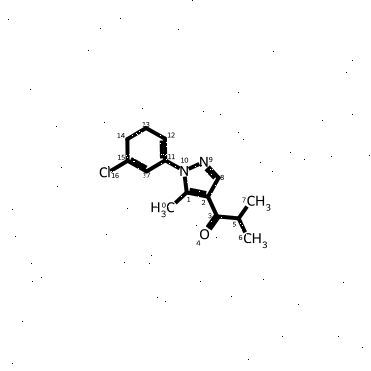 Cc1c(C(=O)C(C)C)cnn1C1=CCCC(Cl)=C1